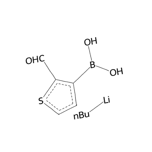 O=Cc1sccc1B(O)O.[Li][CH2]CCC